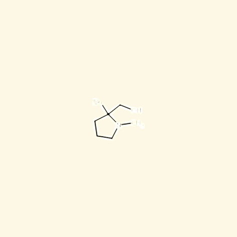 CCC(C)C1(CO)CCCN1C